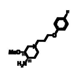 CO[C@@H]1CN(CCCOc2ccc(F)cc2)CC[C@@H]1N